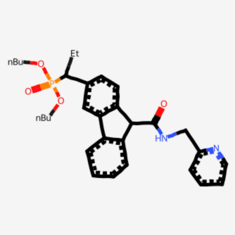 CCCCOP(=O)(OCCCC)C(CC)c1ccc2c(c1)-c1ccccc1C2C(=O)NCc1ccccn1